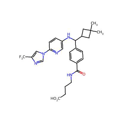 CC1(C)CC(C(Nc2ccc(-n3cnc(C(F)(F)F)c3)nc2)c2ccc(C(=O)NCCCC(=O)O)cc2)C1